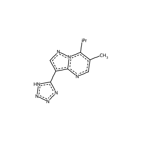 Cc1cnc2c(-c3nnn[nH]3)cnn2c1C(C)C